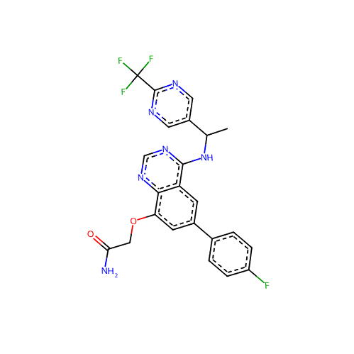 CC(Nc1ncnc2c(OCC(N)=O)cc(-c3ccc(F)cc3)cc12)c1cnc(C(F)(F)F)nc1